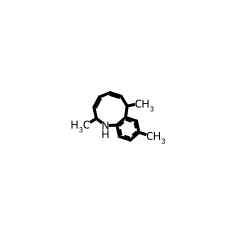 Cc1ccc2c(c1)C(C)/C=C\C=C/C(C)N2